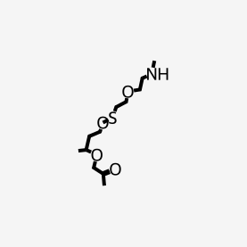 CNCCOCCSOCCC(C)OCC(C)=O